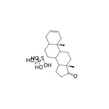 C[C@]12CC=CCC1CCC1C2CC[C@]2(C)C(=O)CCC12.O=S(=O)(O)O.O=S(=O)(O)O